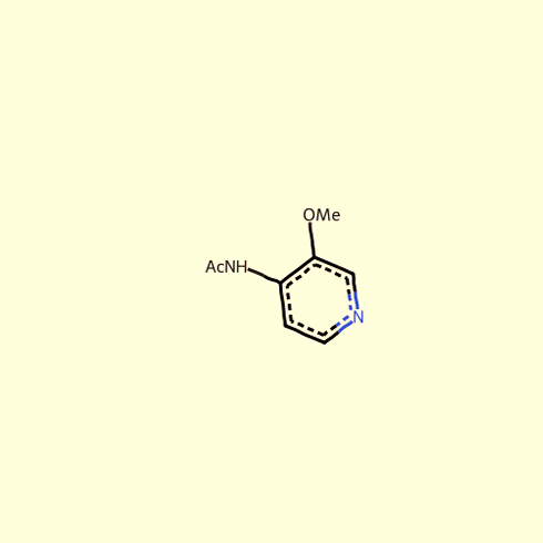 COc1cnccc1NC(C)=O